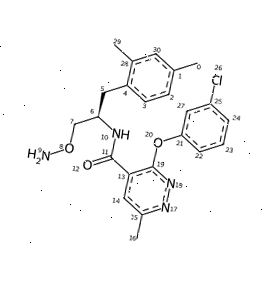 Cc1ccc(C[C@H](CON)NC(=O)c2cc(C)nnc2Oc2cccc(Cl)c2)c(C)c1